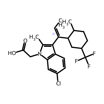 C/C=C(/c1c(C)n(CC(=O)O)c2cc(Cl)ccc12)C1CC(C(F)(F)F)CCC1C